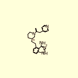 C=C(Cc1ccncc1)N1CCC[C@H](CCc2cccc3c2C(N)=NSN3)C1